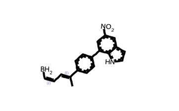 B/C=C\C=C(/C)c1ccc(-c2cc([N+](=O)[O-])cc3cc[nH]c23)cc1